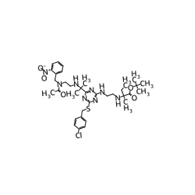 CCC(C)(NCCNc1nc(SCc2ccc(Cl)cc2)nc(C(C)(C)NCCN(Cc2ccccc2[N+](=O)[O-])C(C)=O)n1)C(=O)OC(C)(C)C